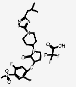 CC(C)Cc1nsc(N2CCC(N3CCC(Oc4cc(F)c(S(C)(=O)=O)cc4F)C3=O)CC2)n1.O=C(O)C(F)(F)F